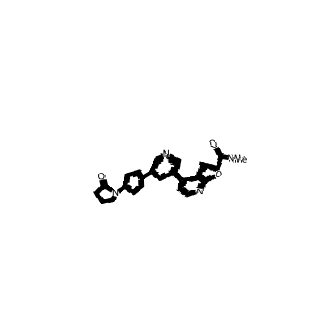 CNC(=O)c1cc2c(-c3cncc(-c4ccc(N5CCCC5=O)cc4)c3)ccnc2o1